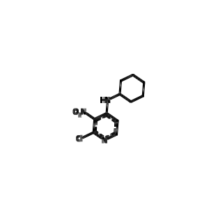 O=[N+]([O-])c1c(NC2CCCCC2)ccnc1Cl